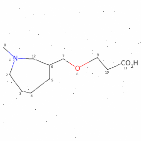 CN1CCCCC(COCCC(=O)O)C1